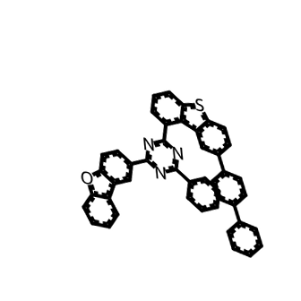 c1ccc(-c2ccc(-c3ccc4sc5cccc(-c6nc(-c7ccccc7)nc(-c7ccc8oc9ccccc9c8c7)n6)c5c4c3)cc2)cc1